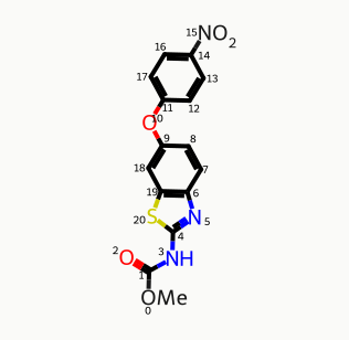 COC(=O)Nc1nc2ccc(Oc3ccc([N+](=O)[O-])cc3)cc2s1